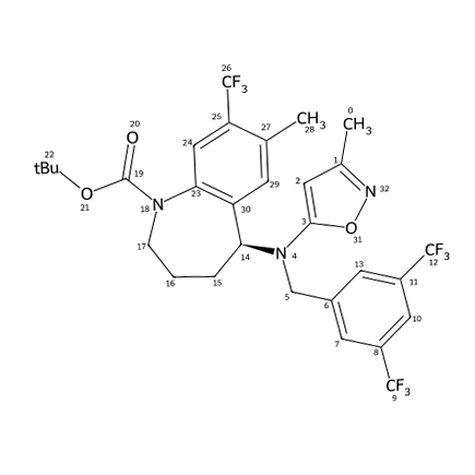 Cc1cc(N(Cc2cc(C(F)(F)F)cc(C(F)(F)F)c2)[C@H]2CCCN(C(=O)OC(C)(C)C)c3cc(C(F)(F)F)c(C)cc32)on1